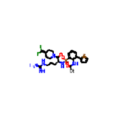 CCC(=O)Nc1c(-c2cccs2)cccc1S(=O)(=O)N[C@@H](CCCNC(=N)N)C(=O)N1CCC(=C(F)F)CC1